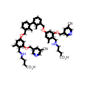 Cc1cc(OCc2cccc(-c3cccc(COc4cc(C)c(CNCCCC(=O)O)c(OCc5cncc(C#N)c5)c4)c3C)c2C)cc(OCc2cncc(C#N)c2)c1CNCCCC(=O)O